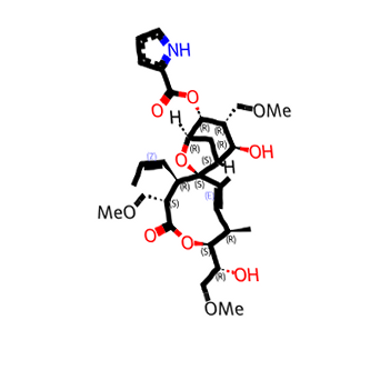 C/C=C\[C@@H]1[C@@H](COC)C(=O)O[C@H]([C@H](O)COC)[C@H](C)/C=C(\C)[C@]12O[C@@H]1C[C@H]2[C@H](O)[C@@H](COC)[C@H]1OC(=O)c1ccc[nH]1